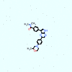 CC1CN(c2ccc(-c3cnc4[nH]cc(-c5ccc(C(=O)N(C)C)cc5)c4n3)cc2)CCO1